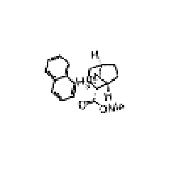 COC(=O)[C@H]1[C@H]2CC[C@H](C[C@H]1c1cccc3ccccc13)N2C